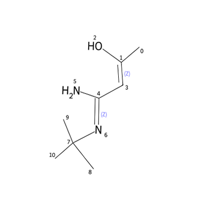 C/C(O)=C/C(N)=N/C(C)(C)C